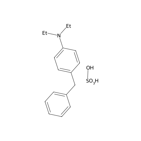 CCN(CC)c1ccc(Cc2ccccc2)cc1.O=S(=O)(O)O